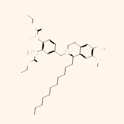 CCCCCCCCCCCC1=[N+](Cc2ccc(NC(=O)OCC)c(NC(=O)OCC)c2)CCc2cc(OC)c(OC)cc21.[Cl-]